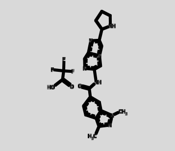 Cc1nn(C)c2cc(C(=O)Nc3cn4cc(C5CCCN5)nc4cn3)ccc12.O=C(O)C(F)(F)F